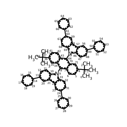 CC(C)(C)c1ccc2c(-n3c4ccc(-c5ccccc5)cc4c4cc(-c5ccccc5)ccc43)c3cc(C(C)(C)C)ccc3c(-n3c4ccc(-c5ccccc5)cc4c4cc(-c5ccccc5)ccc43)c2c1